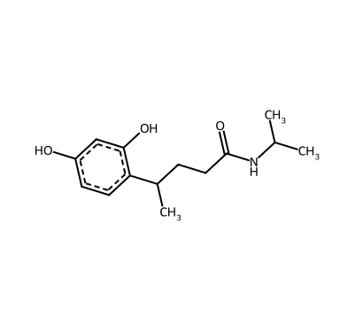 CC(C)NC(=O)CCC(C)c1ccc(O)cc1O